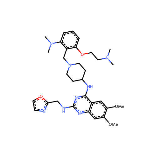 COc1cc2nc(NCc3ncco3)nc(NC3CCN(Cc4c(OCCN(C)C)cccc4N(C)C)CC3)c2cc1OC